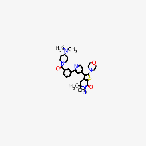 CN(C)C1CCN(C(=O)c2cccc(-c3cc(-c4c(N5CCOCC5)sc5c4CC(C)(C)NC5=O)ccn3)c2)CC1